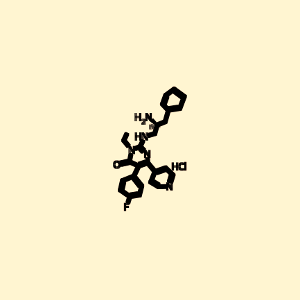 CCn1c(NC[C@@H](N)Cc2ccccc2)nc(-c2ccncc2)c(-c2ccc(F)cc2)c1=O.Cl